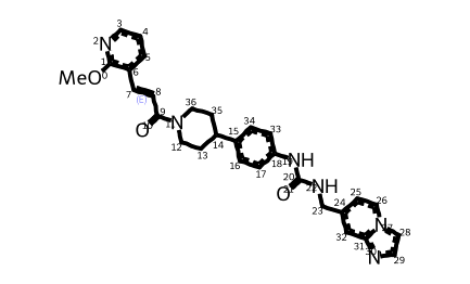 COc1ncccc1/C=C/C(=O)N1CCC(c2ccc(NC(=O)NCc3ccn4ccnc4c3)cc2)CC1